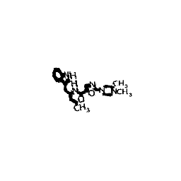 CCCC(Cc1c[nH]c2ccccc12)NC(=O)c1cnc(N2CCN(C)C(C)C2)o1